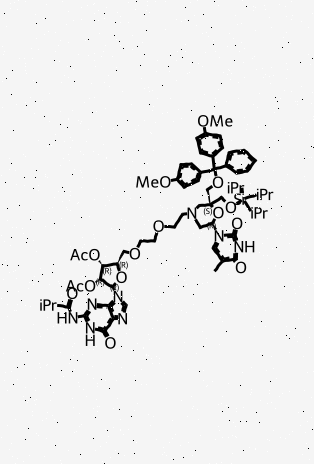 COc1ccc(C(OC[C@]2(CO[Si](C(C)C)(C(C)C)C(C)C)CN(CCOCCOC[C@H]3O[C@@H](n4cnc5c(=O)[nH]c(NC(=O)C(C)C)nc54)[C@H](OC(C)=O)[C@@H]3OC(C)=O)C[C@H](n3cc(C)c(=O)[nH]c3=O)O2)(c2ccccc2)c2ccc(OC)cc2)cc1